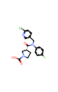 O=C(O)N1CC[C@@H](C(=O)N(Cc2ccc(Cl)nc2)c2ccc(F)cc2)C1